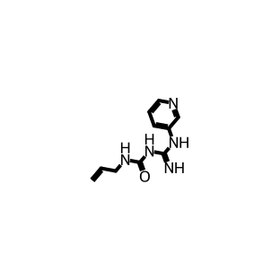 C=CCNC(=O)NC(=N)Nc1cccnc1